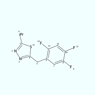 CC(C)c1nnc(Cc2cc(F)c(F)cc2F)s1